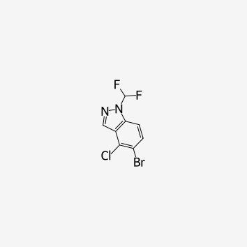 FC(F)n1ncc2c(Cl)c(Br)ccc21